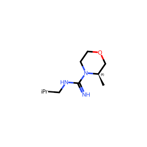 CC(C)CNC(=N)N1CCOC[C@H]1C